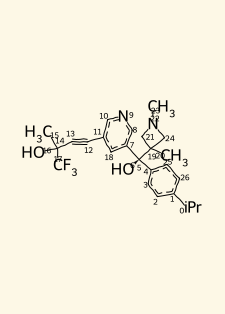 CC(C)c1ccc([C@](O)(c2cncc(C#CC(C)(O)C(F)(F)F)c2)C2(C)CN(C)C2)cc1